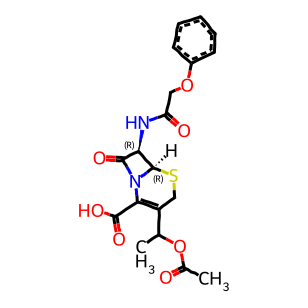 CC(=O)OC(C)C1=C(C(=O)O)N2C(=O)[C@@H](NC(=O)COc3ccccc3)[C@H]2SC1